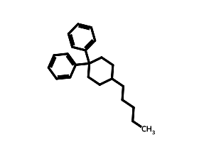 CCCCCC1CCC(c2ccccc2)(c2ccccc2)CC1